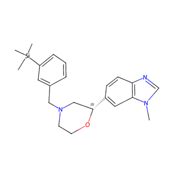 Cn1cnc2ccc([C@H]3CN(Cc4cccc([Si](C)(C)C)c4)CCO3)cc21